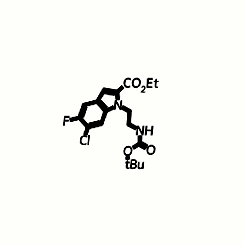 CCOC(=O)c1cc2cc(F)c(Cl)cc2n1CCNC(=O)OC(C)(C)C